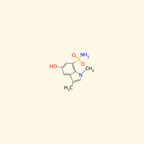 Cc1cn(C)c2c(S(N)(=O)=O)cc(O)cc12